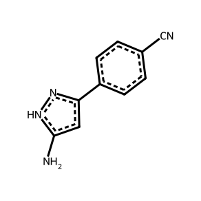 N#Cc1ccc(-c2cc(N)[nH]n2)cc1